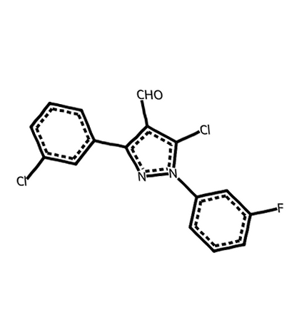 O=Cc1c(-c2cccc(Cl)c2)nn(-c2cccc(F)c2)c1Cl